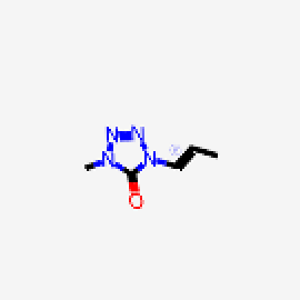 C/C=C/n1nnn(C)c1=O